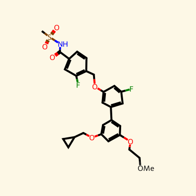 COCCOc1cc(OCC2CC2)cc(-c2cc(F)cc(OCc3ccc(C(=O)NS(C)(=O)=O)cc3F)c2)c1